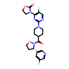 O=C1OCCN1c1nc(N2CCC(C(=O)N3OCC[C@H]3c3cncc(F)c3)CC2)ncc1F